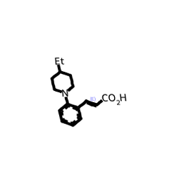 CCC1CCN(c2ccccc2/C=C/C(=O)O)CC1